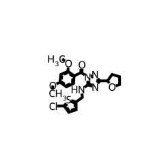 COc1ccc(C(=O)n2nc(C3CCCO3)nc2NCc2ccc(Cl)s2)c(OC)c1